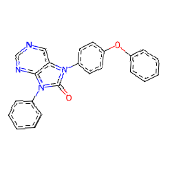 O=c1n(-c2ccc(Oc3ccccc3)cc2)c2cncnc2n1-c1ccccc1